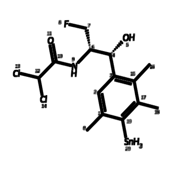 Cc1cc([C@@H](O)[C@@H](CF)NC(=O)C(Cl)Cl)c(C)c(C)[c]1[SnH3]